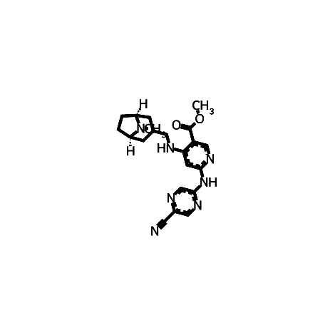 COC(=O)c1cnc(Nc2cnc(C#N)cn2)cc1NCC1C[C@H]2CC[C@@H](C1)N2C